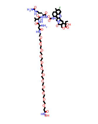 CC[C@@]1(O)C(=O)OCc2c1cc1n(c2=O)Cc2c-1nc1cc(F)c(C)c3c1c2[C@@H](NC(=O)ONC(=O)[C@H](CCCNC(N)=O)NC(=O)[C@@H](NC(=O)[C@@H](N)CC(=O)NCCOCCOCCOCCOCCOCCOCCOCCOCCOCCOCCOCCOCCC(=O)NO)C(C)C)CC3